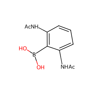 CC(=O)Nc1cccc(NC(C)=O)c1B(O)O